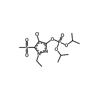 CCn1nc(OP(=O)(OC(C)C)OC(C)C)c(Cl)c1S(C)(=O)=O